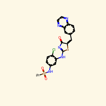 CC(C)S(=O)(=O)Nc1ccc(Cl)c(NC2=NC(=O)C(=Cc3ccc4nccnc4c3)S2)c1